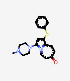 CN1CCN(c2cc(Sc3ccccc3)c3ccc(=O)ccn23)CC1